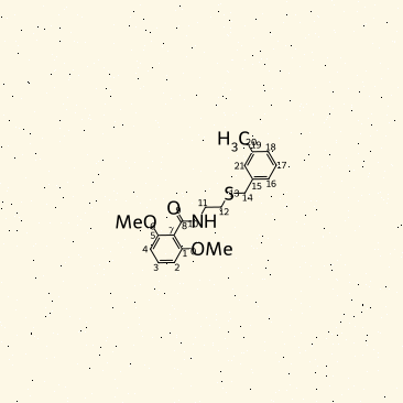 COc1cccc(OC)c1C(=O)NCCSCc1cccc(C)c1